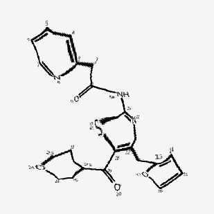 O=C(Cc1ccccn1)Nc1nc(-c2ccco2)c(C(=O)C2CCOCC2)s1